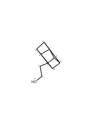 OCCC12C3C4C5C3C1C5C42